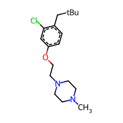 CN1CCN(CCOc2ccc(CC(C)(C)C)c(Cl)c2)CC1